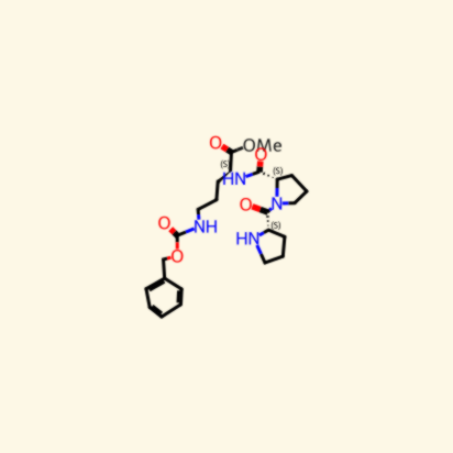 COC(=O)[C@H](CCCNC(=O)OCc1ccccc1)NC(=O)[C@@H]1CCCN1C(=O)[C@@H]1CCCN1